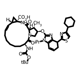 CC(C)n1c(O[C@H]2CN3C(=O)[C@@H](NC(=O)OC(C)(C)C)CCCCC/C=C\[C@@H]4C[C@@]4(C(=O)O)NC(=O)[C@@H]3[C@@H]2C)nc2c1C=CCC2c1nc(C2CCCCC2)cs1